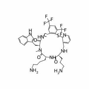 CN1C(=O)[C@H](CCCCN)NC(=O)[C@H](CCCN)NCc2cccnc2Sc2c(cc(C(F)(F)F)cc2C(F)(F)F)CNC(=O)[C@@H]1Cc1c[nH]c2ccccc12